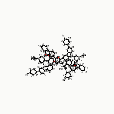 Cc1ccc(-c2ccc3c(c2)c2ccccc2n3-c2cc(C#N)cc(-n3c4ccc(-c5ccc(C)cc5)cc4c4cc(-c5cc(-c6ccc7c8ccccc8n(-c8cc(C#N)cc(-n9c%10ccccc%10c%10ccc(-c%11ccc(C)cc%11)cc%109)c8-c8ccc(C(F)(F)F)cc8C(F)(F)F)c7c6)ccc5C)ccc43)c2-c2ccc(C(F)(F)F)cc2C(F)(F)F)cc1